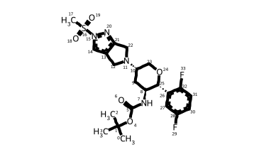 CC(C)(C)OC(=O)N[C@H]1C[C@H](N2Cc3cn(S(C)(=O)=O)nc3C2)CO[C@@H]1c1cc(F)ccc1F